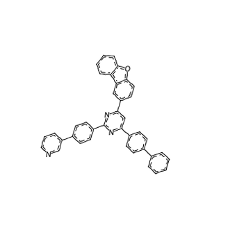 c1ccc(-c2ccc(-c3cc(-c4ccc5oc6ccccc6c5c4)nc(-c4ccc(-c5cccnc5)cc4)n3)cc2)cc1